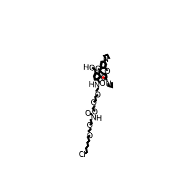 O=C(NCCOCCOCCCCCCCl)OCCOCCOCCNC(=O)c1ccc2c(c1)C1(OC2O)c2ccc(N3CCC3)cc2Oc2cc(N3CCC3)ccc21